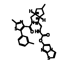 Cc1cccc(-c2sc(C)nc2C(=O)N2C[C@@H]3CC(C)C[C@@H]3[C@H]2CNC(=O)Oc2cn3ccsc3n2)c1